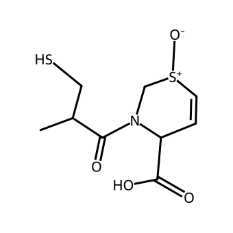 CC(CS)C(=O)N1C[S+]([O-])C=CC1C(=O)O